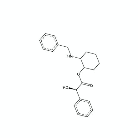 O=C(OC1CCCCC1NCc1ccccc1)[C@H](O)c1ccccc1